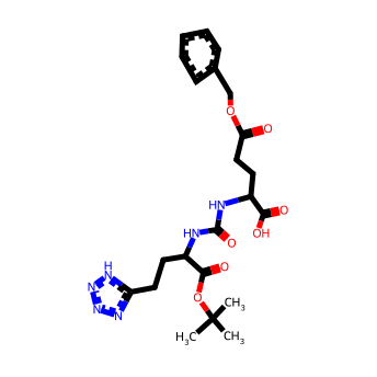 CC(C)(C)OC(=O)C(CCc1nnn[nH]1)NC(=O)NC(CCC(=O)OCc1ccccc1)C(=O)O